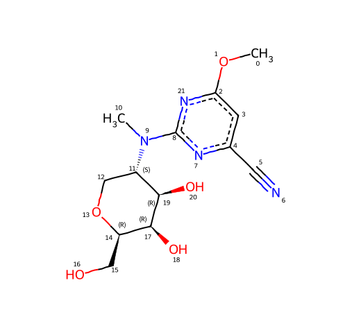 COc1cc(C#N)nc(N(C)[C@H]2CO[C@H](CO)[C@H](O)[C@@H]2O)n1